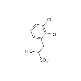 CC(Cc1cccc(Cl)c1Cl)S(=O)(=O)O